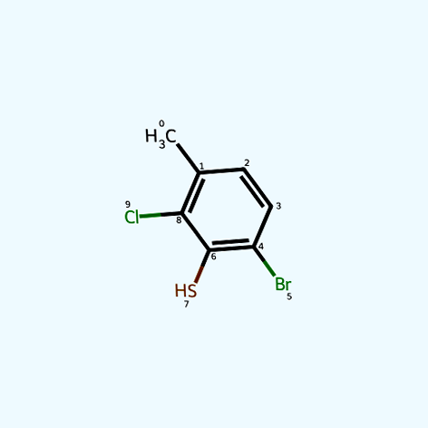 Cc1ccc(Br)c(S)c1Cl